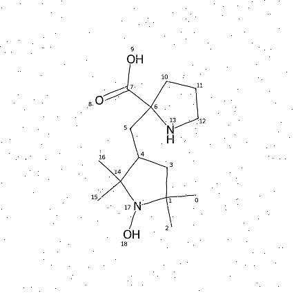 CC1(C)CC(CC2(C(=O)O)CCCN2)C(C)(C)N1O